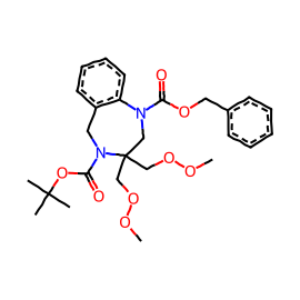 COOCC1(COOC)CN(C(=O)OCc2ccccc2)c2ccccc2CN1C(=O)OC(C)(C)C